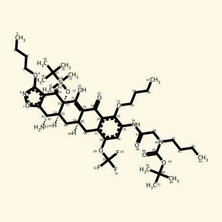 CCCCOc1noc2c1C(=O)[C@@]1(O[Si](C)(C)C(C)(C)C)C(O)=C3C(=O)c4c(c(OC(F)(F)F)cc(NC(=O)CN(CCCC)C(=O)OC(C)(C)C)c4OCCCC)C[C@H]3C[C@H]1[C@@H]2N